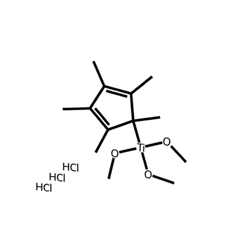 C[O][Ti]([O]C)([O]C)[C]1(C)C(C)=C(C)C(C)=C1C.Cl.Cl.Cl